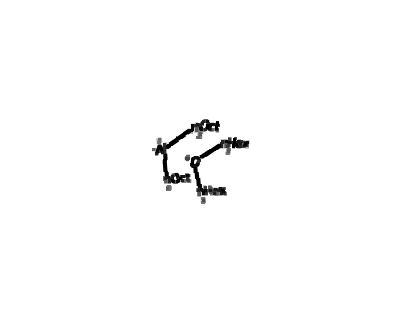 CCCCCCC[CH2][Al][CH2]CCCCCCC.CCCCCCOCCCCCC